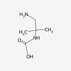 CC(C)(CN)NC(=O)O